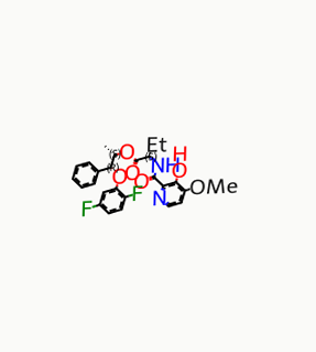 CC[C@H](NC(=O)c1nccc(OC)c1O)C(=O)O[C@@H](C)[C@H](Oc1cc(F)ccc1F)c1ccccc1